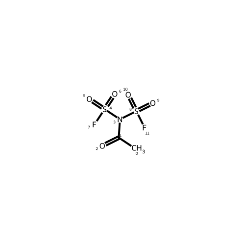 CC(=O)N(S(=O)(=O)F)S(=O)(=O)F